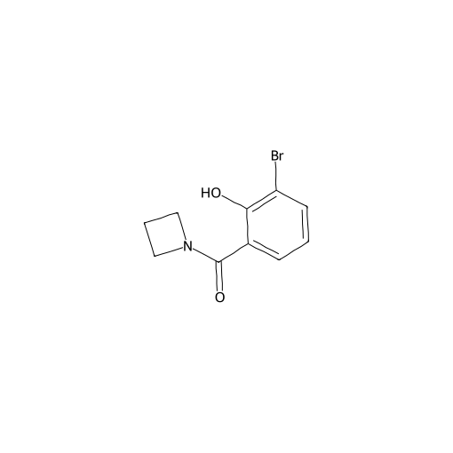 O=C(c1cccc(Br)c1O)N1CCC1